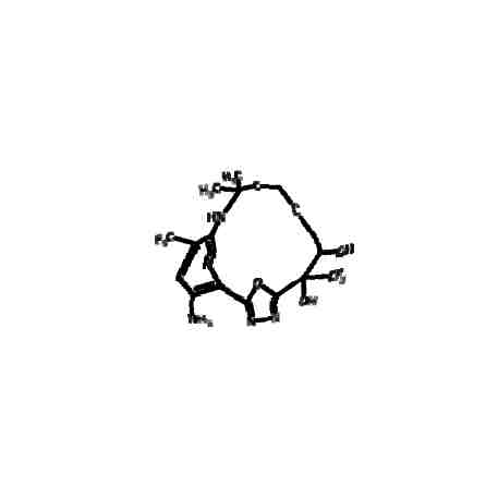 CC1(C)CCCCC(O)C(O)(C(F)(F)F)c2nnc(o2)-c2nc(c(C(F)(F)F)cc2N)N1